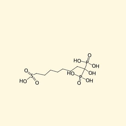 O=P(O)(O)C(O)(CCCCCCCS(=O)(=O)O)P(=O)(O)O